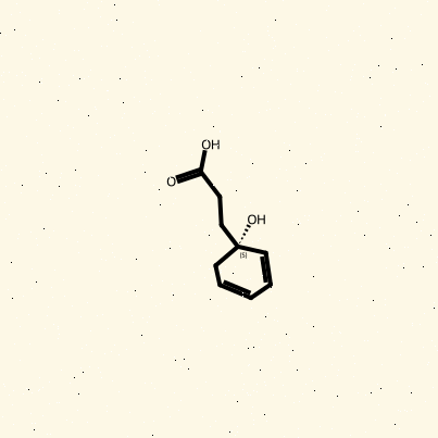 O=C(O)CC[C@@]1(O)C=CC=CC1